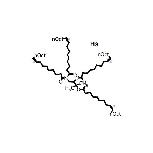 Br.CCCCCCCC/C=C\CCCCCCCC(=O)OC(CN(C(=O)CCCCCCC/C=C\CCCCCCCC)C(=O)CCCCCCC/C=C\CCCCCCCC)C(C)(C)OC(=O)CCCCCCC/C=C\CCCCCCCC